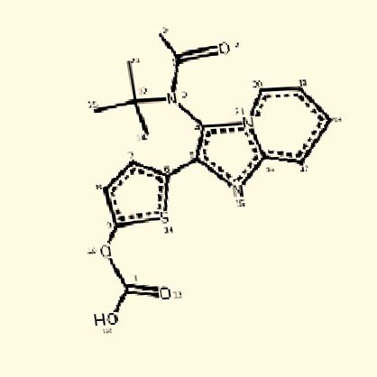 CC(=O)N(c1c(-c2ccc(OC(=O)O)s2)nc2ccccn12)C(C)(C)C